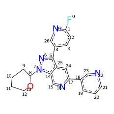 Fc1ccc(-c2nn(C3CCCCO3)c3cnc(-c4cccnc4)cc23)cn1